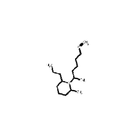 C=PCCCCC(C)B1C(C)CCCC1CCC